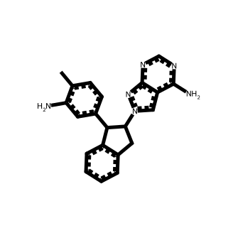 Cc1ccc(C2c3ccccc3CC2n2cc3c(N)ncnc3n2)cc1N